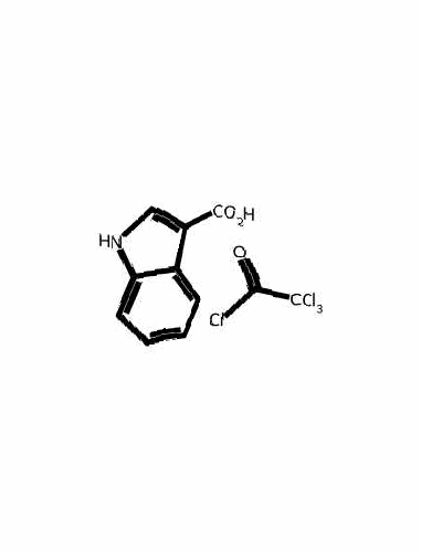 O=C(Cl)C(Cl)(Cl)Cl.O=C(O)c1c[nH]c2ccccc12